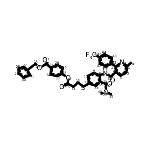 Cc1ccc(C(=O)Nc2ccc(CCCC(=O)Oc3ccc(C(=O)OCc4ccccc4)cc3)cc2C(=O)N(C)C)c(-c2ccc(C(F)(F)F)cc2)n1